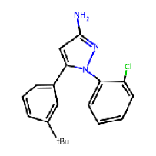 CC(C)(C)c1cccc(-c2cc(N)nn2-c2ccccc2Cl)c1